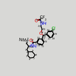 CNCC(CC1CCCCC1)NC(=O)c1cccc(C(OCCNC(=O)C(F)(F)F)c2cccc(Cl)c2)c1